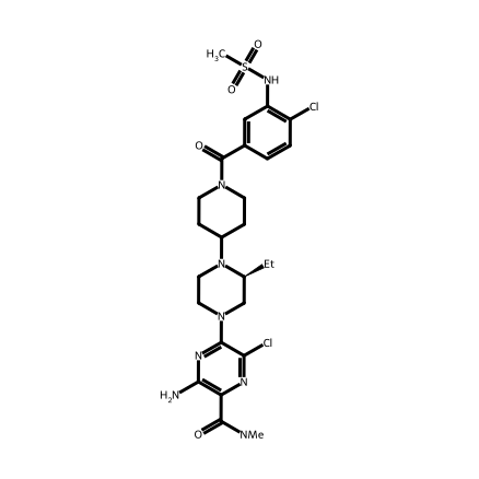 CC[C@H]1CN(c2nc(N)c(C(=O)NC)nc2Cl)CCN1C1CCN(C(=O)c2ccc(Cl)c(NS(C)(=O)=O)c2)CC1